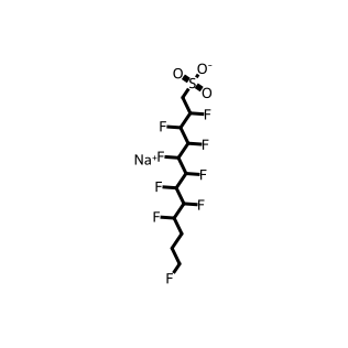 O=S(=O)([O-])CC(F)C(F)C(F)C(F)C(F)C(F)C(F)C(F)CCCF.[Na+]